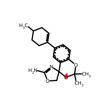 CC1CC=C(c2ccc3c(c2)C2(COC(N)=N2)C2(COC2)C(C)(C)O3)CC1